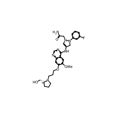 COc1cc2c(NC3=CN(CC(N)=O)N(c4cccc(F)c4)C3)ncnc2cc1OCCCN1CCC[C@@H]1CO